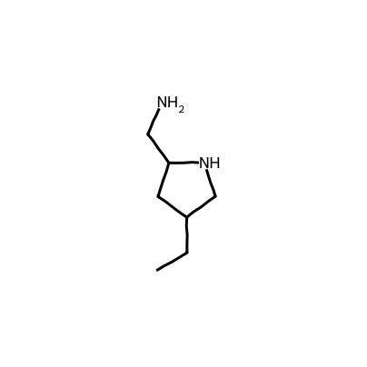 CCC1CNC(CN)C1